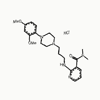 COc1ccc(N2CCN(CCCNc3ncccc3C(=O)N(C)C)CC2)c(OC)c1.Cl